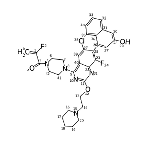 C=C(F)C(=O)N1CCN(c2nc(OCCN3CCCCC3)nc3c(F)c(-c4cc(O)cc5ccccc45)c(Cl)cc23)CC1